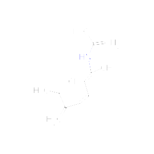 C=C(C)N/C(C)=C/C=C\C(=C)C(C)C